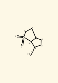 CC1CCC2CCS(=O)(=O)C12